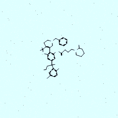 CCCC(C)(c1cc(OC(=O)CCCN2CCCCC2C)c2c(c1)OC(C)(C)C1=C2CN(Cc2ccccc2)CC1)c1cc(Cl)ccc1C.Cl